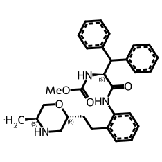 [CH2][C@H]1CO[C@H](CCc2ccccc2NC(=O)[C@@H](NC(=O)OC)C(c2ccccc2)c2ccccc2)CN1